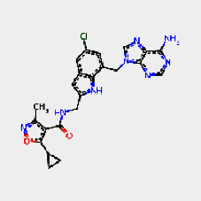 Cc1noc(C2CC2)c1C(=O)NCc1cc2cc(Cl)cc(Cn3cnc4c(N)ncnc43)c2[nH]1